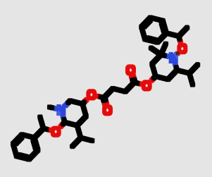 CC(OC1C(C(C)C)CC(OC(=O)CCC(=O)OC2CC(C(C)C)N(OC(C)c3ccccc3)C(C)(C)C2)CN1C)c1ccccc1